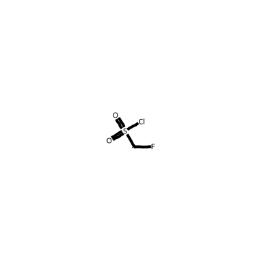 O=S(=O)(Cl)[C]F